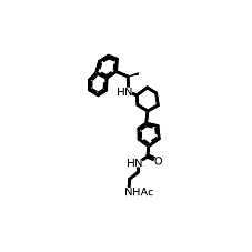 CC(=O)NCCNC(=O)c1ccc(C2CCCC(N[C@H](C)c3cccc4ccccc34)C2)cc1